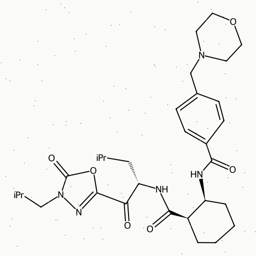 CC(C)C[C@H](NC(=O)[C@@H]1CCCC[C@@H]1NC(=O)c1ccc(CN2CCOCC2)cc1)C(=O)c1nn(CC(C)C)c(=O)o1